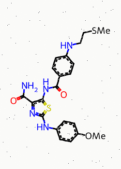 COc1ccc(Nc2nc(C(N)=O)c(NC(=O)c3ccc(NCCSC)cc3)s2)cc1